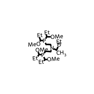 CCOC(C)N(CCP(C(CC)OC)C(CC)OC)CCP(C(CC)OC)C(CC)OC